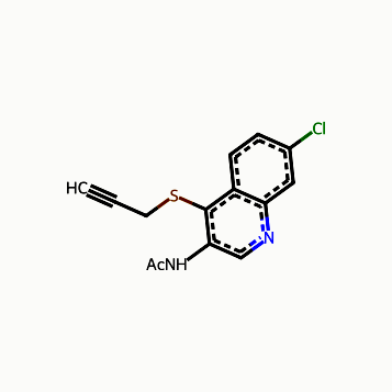 C#CCSc1c(NC(C)=O)cnc2cc(Cl)ccc12